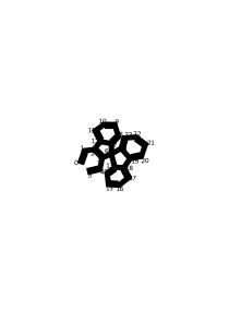 C=CC1=C(C=C)C2(c3ccccc31)c1ccccc1-c1ccccc12